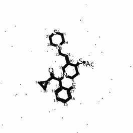 CC(=O)SC1CCN(C(C(=O)C2CC2)c2ccccc2F)CC1=CCN1CCSCC1